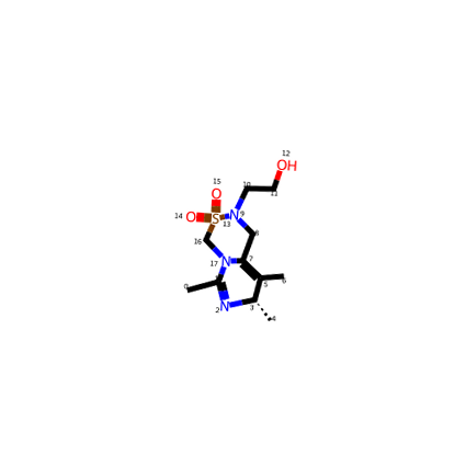 CC1=N[C@@H](C)C(C)=C2CN(CCO)S(=O)(=O)CN12